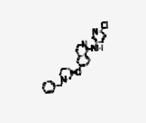 Clc1ccc(Nc2nccc3cc(O[C@@H]4CCCN(Cc5ccccc5)C4)ccc23)cn1